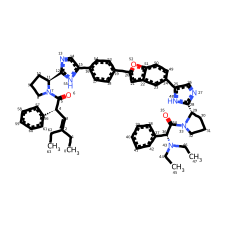 CCC(=C[C@@H](C(=O)N1CCC[C@H]1c1ncc(-c2ccc(-c3cc4cc(-c5cnc([C@@H]6CCCN6C(=O)[C@@H](c6ccccc6)N(CC)CC)[nH]5)ccc4o3)cc2)[nH]1)c1ccccc1)CC